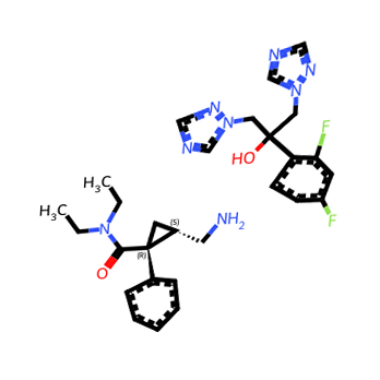 CCN(CC)C(=O)[C@]1(c2ccccc2)C[C@@H]1CN.OC(Cn1cncn1)(Cn1cncn1)c1ccc(F)cc1F